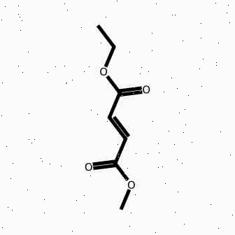 CCOC(=O)C=CC(=O)OC